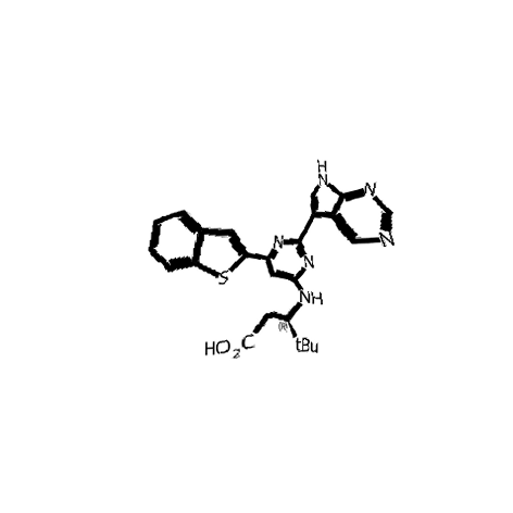 CC(C)(C)[C@@H](CC(=O)O)Nc1cc(-c2cc3ccccc3s2)nc(-c2c[nH]c3ncncc23)n1